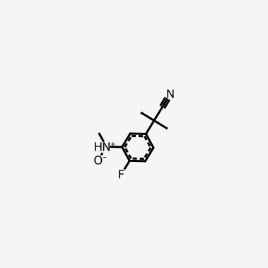 C[NH+]([O-])c1cc(C(C)(C)C#N)ccc1F